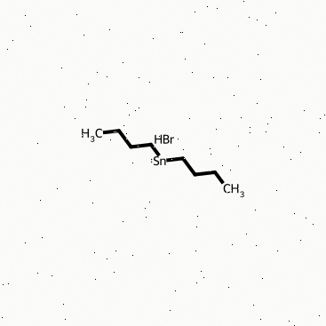 Br.CCC[CH2][Sn][CH2]CCC